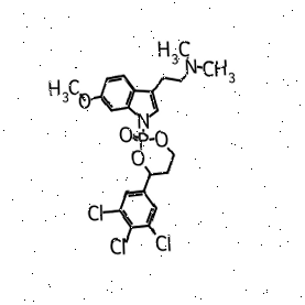 COc1ccc2c(CCN(C)C)cn(P3(=O)OCCC(c4cc(Cl)c(Cl)c(Cl)c4)O3)c2c1